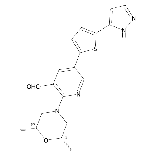 C[C@@H]1CN(c2ncc(-c3ccc(-c4ccn[nH]4)s3)cc2C=O)C[C@H](C)O1